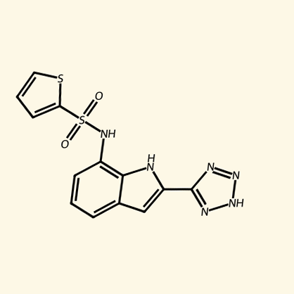 O=S(=O)(Nc1cccc2cc(-c3nn[nH]n3)[nH]c12)c1cccs1